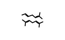 CC(C)=CCC=C(C)C.CC=CCC=C(C)C